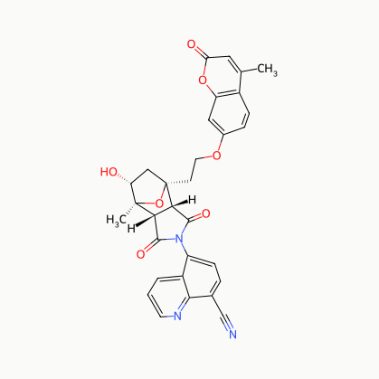 Cc1cc(=O)oc2cc(OCC[C@@]34C[C@@H](O)[C@@](C)(O3)[C@H]3C(=O)N(c5ccc(C#N)c6ncccc56)C(=O)[C@H]34)ccc12